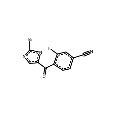 N#Cc1ccc(C(=O)c2csc(Br)n2)c(F)c1